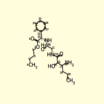 CCCCOC(=O)[C@@H](N[C@H](O)CNC(=O)C(O)C(N)CCC)c1ccccc1